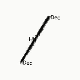 CCCCCCCCCCCCCCCCCCCCCCCCCCCCCCCCCCCCCCCCNCCCCCCCCCCCCCCCCCCCCCCCCCCCCCCCCCCCCCCCC